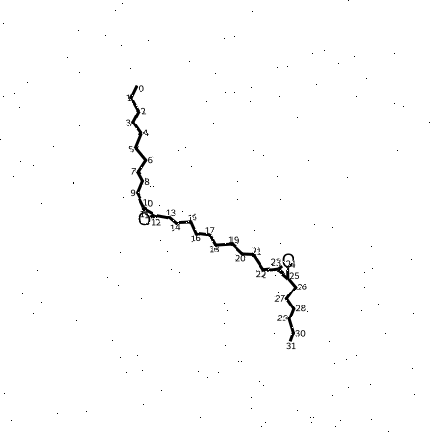 CCCCCCCCCCC1OC1CCCCCCCCCCC1OC1CCCCCC